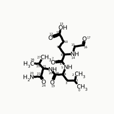 CC(C)CC(NC(=O)C(CCC(=O)O)NCC=O)C(=O)NC(C(N)=O)C(C)C